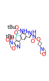 Cc1c(-c2cc3cc(NC(=O)O[C@H]4C[C@H](N5CCOCC5)C4)ncc3c(NC(=O)OC(C)(C)C)c2F)cnc2c1N(C(=O)OC(C)(C)C)CCO2